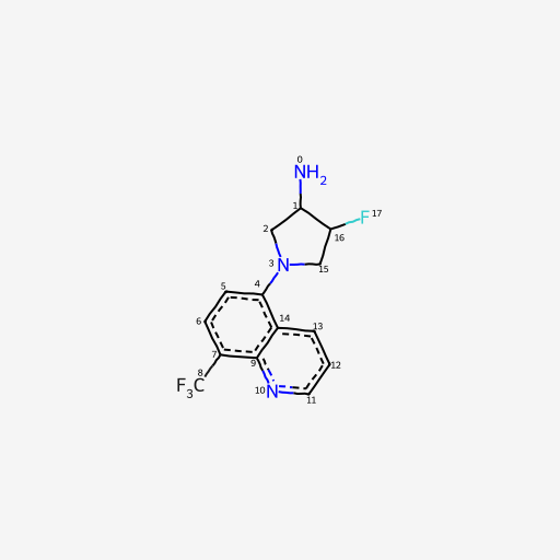 NC1CN(c2ccc(C(F)(F)F)c3ncccc23)CC1F